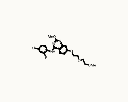 COCCOCCOc1ccc2c(Nc3ccc(Cl)cc3F)nc(OC)nc2c1